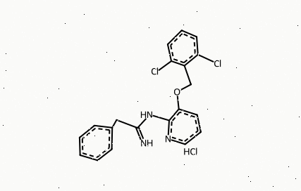 Cl.N=C(Cc1ccccc1)Nc1ncccc1OCc1c(Cl)cccc1Cl